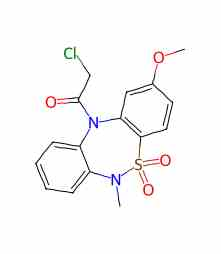 COc1ccc2c(c1)N(C(=O)CCl)c1ccccc1N(C)S2(=O)=O